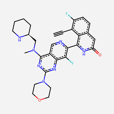 C#Cc1c(F)ccc2cc(=O)[nH]c(-c3ncc4c(N(C)C[C@@H]5CCCCN5)nc(N5CCOCC5)nc4c3F)c12